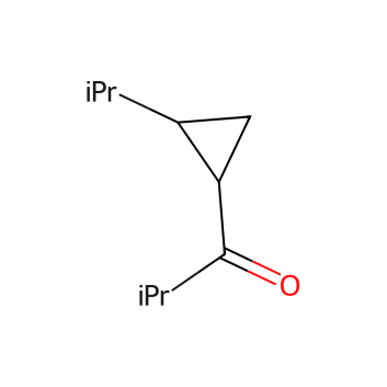 CC(C)C(=O)C1CC1C(C)C